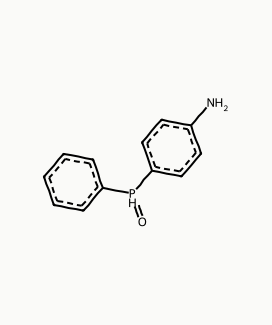 Nc1ccc([PH](=O)c2ccccc2)cc1